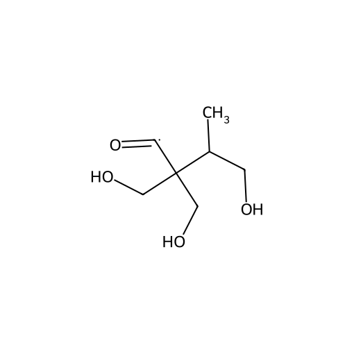 CC(CO)C([C]=O)(CO)CO